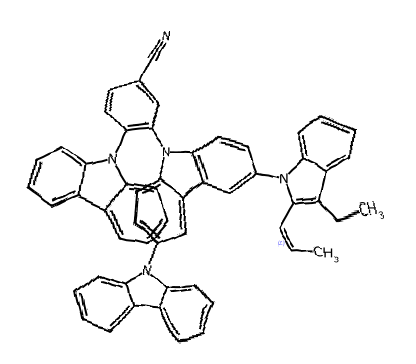 C/C=C\c1c(CC)c2ccccc2n1-c1ccc2c(c1)c1cc(-n3c4ccccc4c4ccccc43)ccc1n2-c1cc(C#N)ccc1-n1c2ccccc2c2ccccc21